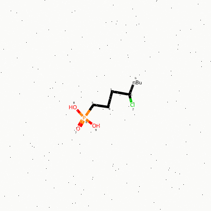 CCCCC(Cl)CCCP(=O)(O)O